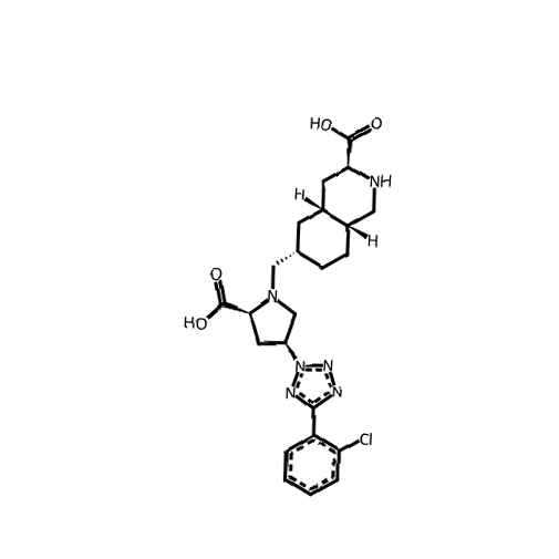 O=C(O)[C@@H]1C[C@H]2C[C@@H](CN3C[C@@H](n4nnc(-c5ccccc5Cl)n4)C[C@H]3C(=O)O)CC[C@H]2CN1